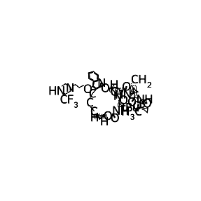 C=C[C@@H]1C[C@]1(NC(=O)[C@@H]1C[C@@H]2CN1C(=O)[C@H](C(C)(C)C)NC(=O)O[C@@H]1C[C@H]1CCCCCc1c(nc3ccccc3c1OCCCN1CCNC(C(F)(F)F)C1)O2)C(=O)NS(=O)(=O)C1(C)CC1